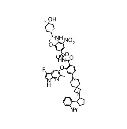 Cc1nc2[nH]cc(F)c2cc1Oc1cc(N2CCC3(CC2)CN([C@H]2CCC[C@H]2c2ccccc2C(C)C)C3)ccc1C(=O)NS(=O)(=O)c1cc2c(c([N+](=O)[O-])c1)N[C@@H]([C@H]1CC[C@](C)(O)CC1)CO2